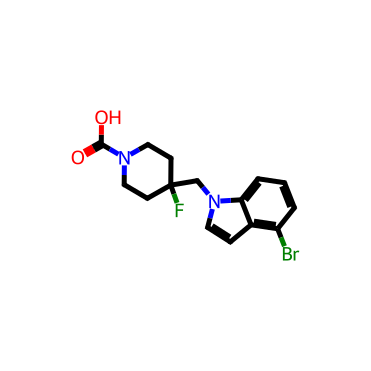 O=C(O)N1CCC(F)(Cn2ccc3c(Br)cccc32)CC1